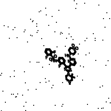 CN1CCN(c2nc(-c3cccc(NS(=O)(=O)c4c(F)cccc4F)c3F)c(-c3ccnc(NC4CCS(=O)(=O)CC4)n3)s2)C(C)(C)C1